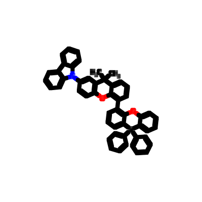 CC1(C)c2cc(-n3c4ccccc4c4ccccc43)ccc2Oc2c(-c3cccc4c3Oc3ccccc3[Si]4(c3ccccc3)c3ccccc3)cccc21